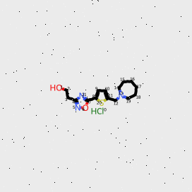 Cl.OCCc1noc(-c2ccc(CN3CCCCCC3)s2)n1